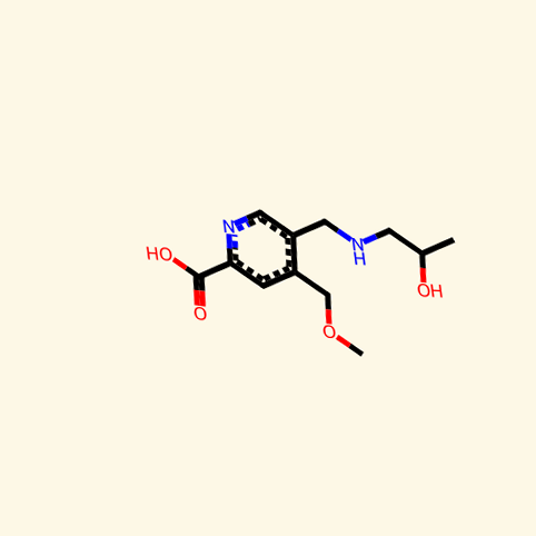 COCc1cc(C(=O)O)ncc1CNCC(C)O